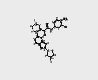 CCc1cc(NC(=O)C(=O)N2C[C@@H](C)CC[C@@H]2c2ccc3cn(C4CCN(C)C4)nc3c2)cnc1N